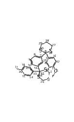 COc1ccc(C2(c3cccc(C4(c5ccc(C)cc5)SCCCS4)c3)SCCCS2)cc1